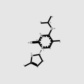 CC1=CC[C@@H](n2cc(C)c(OC(C)C)nc2=O)O1